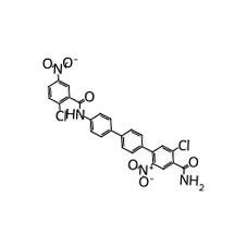 NC(=O)c1cc([N+](=O)[O-])c(-c2ccc(-c3ccc(NC(=O)c4cc([N+](=O)[O-])ccc4Cl)cc3)cc2)cc1Cl